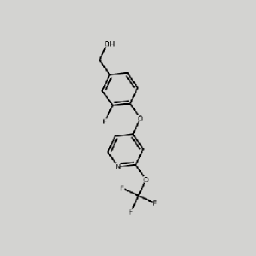 OCc1ccc(Oc2ccnc(OC(F)(F)F)c2)c(F)c1